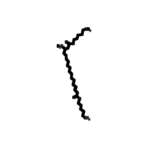 CCCCCCOC(=O)CCCCCCCCCCCCCCC(C)CC(=O)OCCCCCC